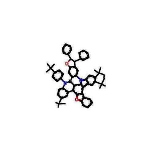 CC(C)(C)c1ccc(N2B3c4cc5c(cc4-n4c6cc7c(cc6c6c8c(oc9ccccc98)c(c3c64)-c3cc(C(C)(C)C)ccc32)C(C)(C)CCC7(C)C)C(c2ccccc2)C(c2ccccc2)O5)cc1